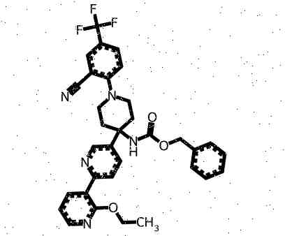 CCOc1ncccc1-c1ccc(C2(NC(=O)OCc3ccccc3)CCN(c3ccc(C(F)(F)F)cc3C#N)CC2)cn1